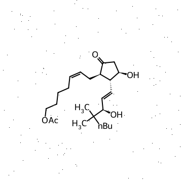 CCCCC(C)(C)[C@H](O)/C=C/[C@H]1[C@H](O)CC(=O)[C@@H]1C/C=C\CCCCOC(C)=O